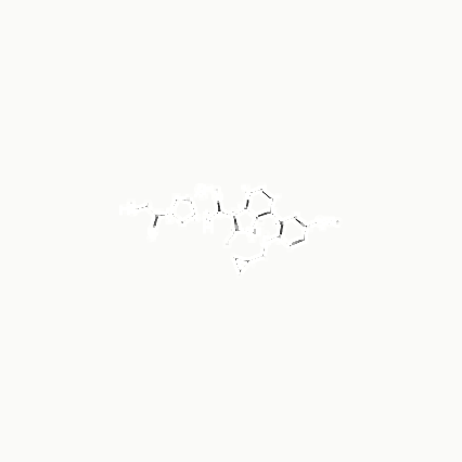 COc1ccc(OCC2CC2)c(-c2ccnc3c(C(=O)N[C@@H]4CN(C(=O)CO)C[C@@H]4O)c(C)[nH]c23)c1